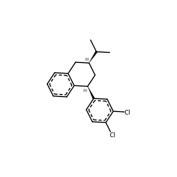 CC(C)[C@@H]1Cc2ccccc2[C@H](c2ccc(Cl)c(Cl)c2)C1